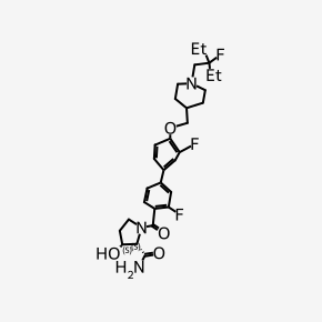 CCC(F)(CC)CN1CCC(COc2ccc(-c3ccc(C(=O)N4CC[C@H](O)[C@H]4C(N)=O)c(F)c3)cc2F)CC1